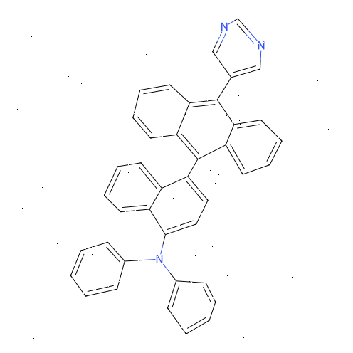 c1ccc(N(c2ccccc2)c2ccc(-c3c4ccccc4c(-c4cncnc4)c4ccccc34)c3ccccc23)cc1